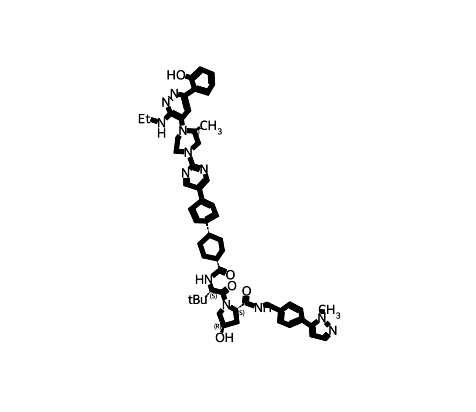 CCNc1nnc(-c2ccccc2O)cc1N1CCN(c2ncc(-c3ccc([C@H]4CC[C@@H](C(=O)N[C@H](C(=O)N5C[C@H](O)C[C@H]5C(=O)NCc5ccc(-c6ccnn6C)cc5)C(C)(C)C)CC4)cc3)cn2)C[C@@H]1C